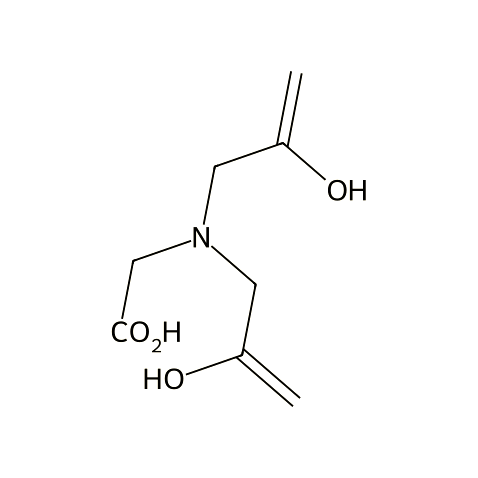 C=C(O)CN(CC(=C)O)CC(=O)O